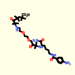 CC(C)(CC(C)(C)C(=O)C(C)(C)NCCOCCOCC(=O)C(C)(C)NC(CCCCNC(=O)c1ccc(N)cc1)C(N)=O)C(=O)O